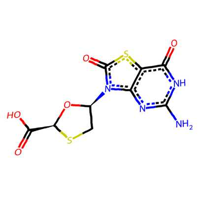 Nc1nc2c(sc(=O)n2[C@H]2CS[C@@H](C(=O)O)O2)c(=O)[nH]1